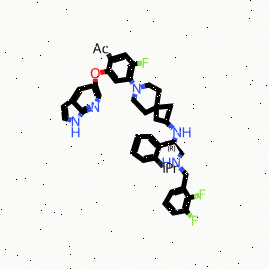 CC(=O)c1cc(F)c(N2CCC3(CC2)CC(N[C@@H](CNCc2cccc(F)c2F)c2ccccc2C(C)C)C3)cc1Oc1cnc2[nH]ccc2c1